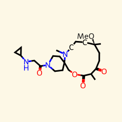 CO[C@]1(C)CCCN(C)C2(CCN(C(=O)CNC3CC3)CC2)COC(=O)C(C)C(=O)CC1